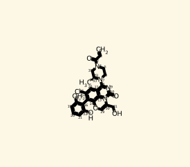 C=CC(=O)N1CCN(c2nc(=O)n3c4c(c(-c5c(O)cccc5O)c(Cl)cc24)OC=C3CO)[C@@H](C)C1